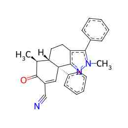 C[C@@H]1C(=O)C(C#N)=C[C@]2(c3ccccc3)c3nn(C)c(-c4ccccc4)c3CC[C@@H]12